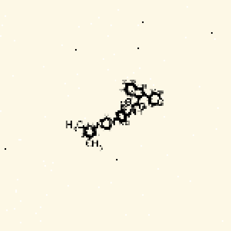 Cc1cc(C)nc(N2CCN(c3ccc(NC(=O)C(=O)c4c(C5CCOCC5)cc5ccccn45)c(C)c3)CC2)c1